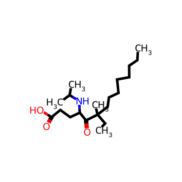 CCCCCCCCC(C)(CC)C(=O)C(CCC(=O)O)NC(C)C